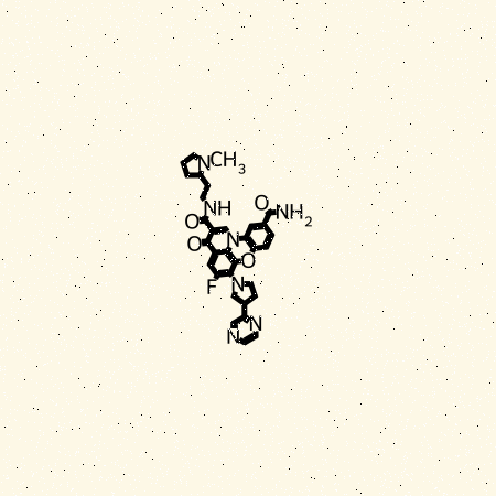 CN1CCCC1CCNC(=O)c1cn2c3c(c(N4CCC(c5cnccn5)C4)c(F)cc3c1=O)Oc1ccc(C(N)=O)cc1-2